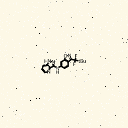 CC(C)(C)C(F)(F)c1noc2cc(Nc3n[nH]c4cccnc34)ccc12